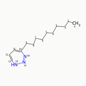 CCCCCCCCCCC1=CC=CNN=N1